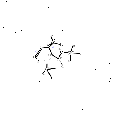 C/C=C\C(=C(/C)I)[C@@H](O[Si](C)(C)C)[C@@H](C)O[Si](C)(C)C